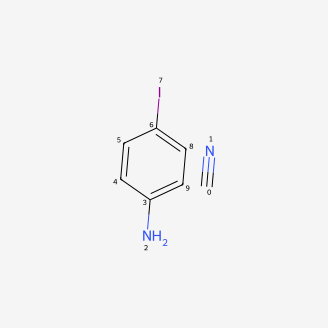 C#N.Nc1ccc(I)cc1